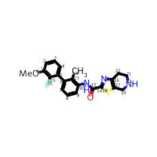 COc1cccc(-c2cccc(NC(=O)c3nc4c(s3)CNCC4)c2C)c1F